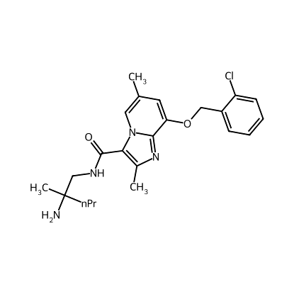 CCCC(C)(N)CNC(=O)c1c(C)nc2c(OCc3ccccc3Cl)cc(C)cn12